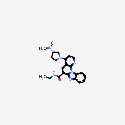 CCNC(=O)c1cc2c(N3CC[C@H](N(C)C)C3)ccnc2n2c1nc1ccccc12